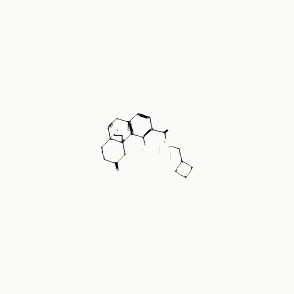 O=C1CCC2C3Cc4ccc(C(=O)NCC5CCC5)c(O)c4C2(CCN3)C1